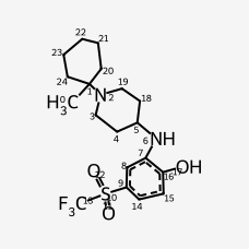 CC1(N2CCC(Nc3cc(S(=O)(=O)C(F)(F)F)ccc3O)CC2)CCCCC1